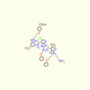 COc1ccc(OCCCc2nc3cc(C)cnc3n2CC(N)c2c(Cl)cnc3c2nc(CCCOc2ccccc2)n3CC(N)c2c(C)cnc3c2nc(CCCOc2ccccc2)n3CCCCN)cc1